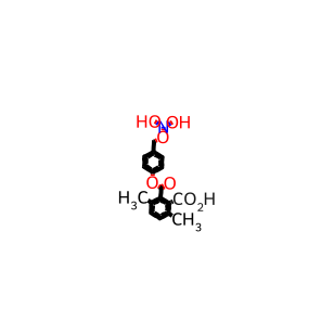 Cc1ccc(C)c(C(=O)Oc2ccc(CON(O)O)cc2)c1C(=O)O